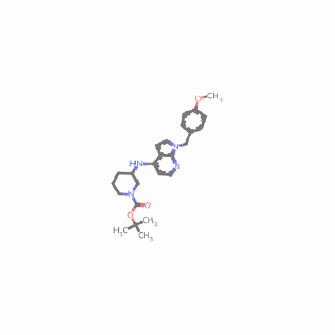 COc1ccc(Cn2ccc3c(NC4CCCN(C(=O)OC(C)(C)C)C4)ccnc32)cc1